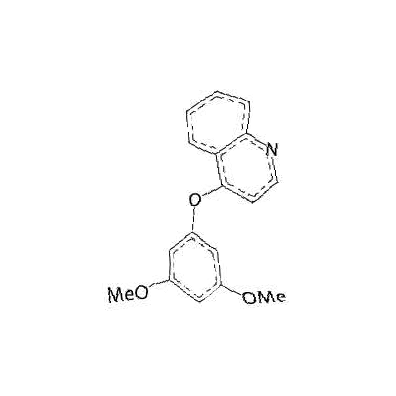 COc1cc(OC)cc(Oc2ccnc3ccccc23)c1